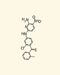 Cc1ccccc1C(=S)c1ccc(Nc2ccc([N+](=O)[O-])c(N)n2)cc1Cl